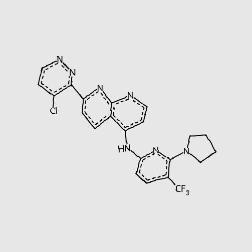 FC(F)(F)c1ccc(Nc2ccnc3nc(-c4nnccc4Cl)ccc23)nc1N1CCCC1